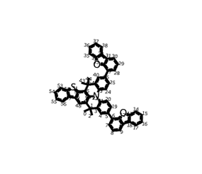 CC1(C)c2cc(-c3cccc4c3oc3ccccc34)ccc2N2c3ccc(-c4cccc5c4oc4ccccc45)cc3C(C)(C)c3c2c1cc1c3sc2ccccc21